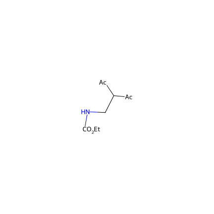 CCOC(=O)NCC(C(C)=O)C(C)=O